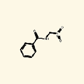 O=C(NC[SH](=O)=O)c1ccccc1